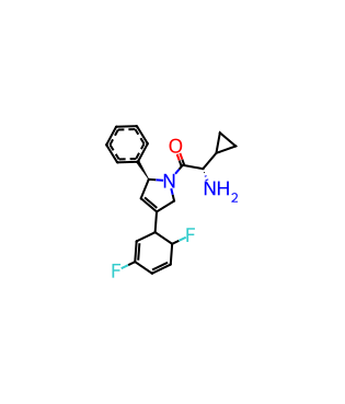 N[C@H](C(=O)N1CC(C2C=C(F)C=CC2F)=C[C@H]1c1ccccc1)C1CC1